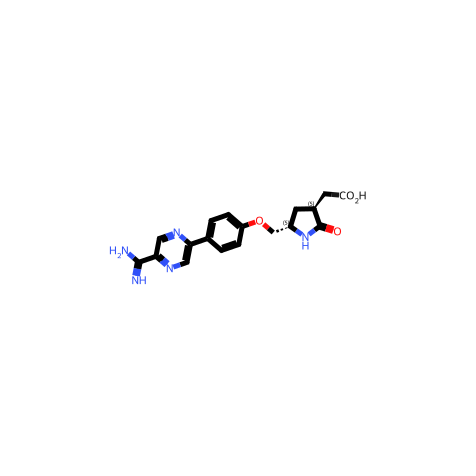 N=C(N)c1cnc(-c2ccc(OC[C@@H]3C[C@@H](CC(=O)O)C(=O)N3)cc2)cn1